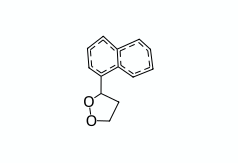 c1ccc2c(C3CCOO3)cccc2c1